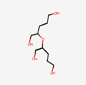 OCCCC(CO)OC(CO)CCCO